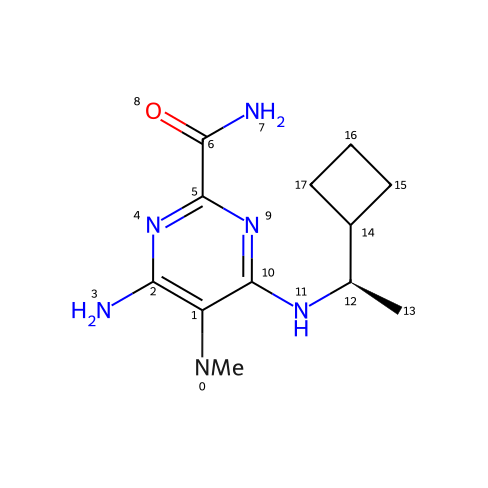 CNc1c(N)nc(C(N)=O)nc1N[C@H](C)C1CCC1